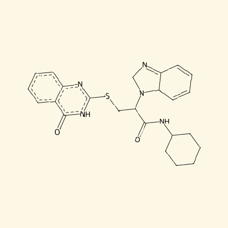 O=C(NC1CCCCC1)C(CSc1nc2ccccc2c(=O)[nH]1)N1CN=C2C=CC=CC21